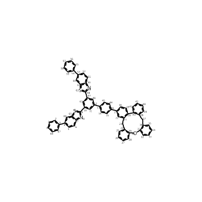 c1ccc(-c2ccc3nc(-c4cc(-c5ccc(-c6ccc7c(c6)Cc6ccccc6Oc6ccccc6Cc6ccccc6-7)cc5)cc(-c5nc6ccc(-c7ccccc7)cc6s5)c4)sc3c2)cc1